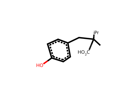 CC(C)C(C)(Cc1ccc(O)cc1)C(=O)O